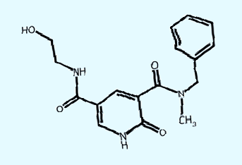 CN(Cc1ccccc1)C(=O)c1cc(C(=O)NCCO)c[nH]c1=O